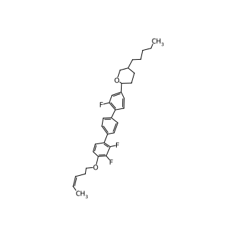 C/C=C\CCOc1ccc(-c2ccc(-c3ccc(C4CCC(CCCCC)CO4)cc3F)cc2)c(F)c1F